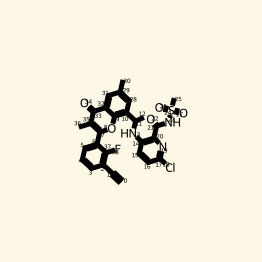 C#Cc1cccc(-c2oc3c(C(C)Nc4ccc(Cl)nc4C(=O)NS(C)(=O)=O)cc(C)cc3c(=O)c2C)c1F